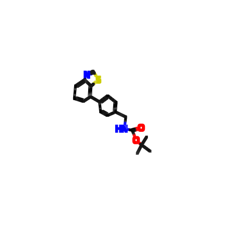 CC(C)(C)OC(=O)NCc1ccc(-c2cccc3ncsc23)cc1